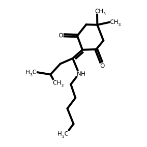 CCCCCNC(CC(C)C)=C1C(=O)CC(C)(C)CC1=O